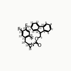 O=C(OCC1c2ccccc2-c2ccccc21)N1CC1Cc1cc(F)c(F)cc1F